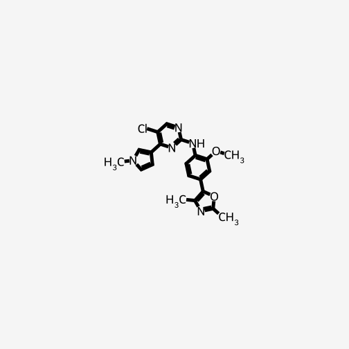 COc1cc(-c2oc(C)nc2C)ccc1Nc1ncc(Cl)c(-c2ccn(C)c2)n1